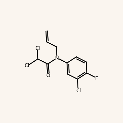 C=CCN(C(=O)C(Cl)Cl)c1ccc(F)c(Cl)c1